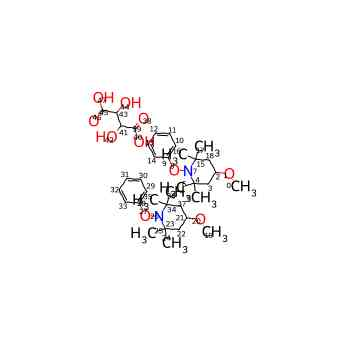 COC1CC(C)(C)N(Oc2ccccc2)C(C)(C)C1.COC1CC(C)(C)N(Oc2ccccc2)C(C)(C)C1.O=C(O)C(O)C(O)C(=O)O